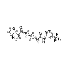 CN(C(=O)Nc1cc(C(F)(F)F)cnn1)C1CC2(C1)CN(C(=O)c1ncnc3ccsc13)C2